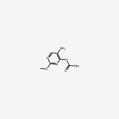 CSc1ncc(N)c(OC(=O)O)n1